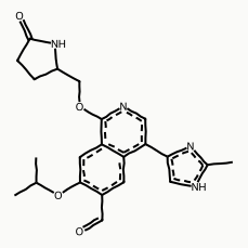 Cc1nc(-c2cnc(OCC3CCC(=O)N3)c3cc(OC(C)C)c(C=O)cc23)c[nH]1